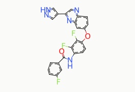 O=C(Nc1ccc(Oc2ccc3ncc(-c4cn[nH]c4)nc3c2)c(F)c1F)c1cccc(F)c1